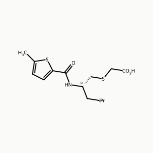 Cc1ccc(C(=O)N[C@H](CSCC(=O)O)CC(C)C)s1